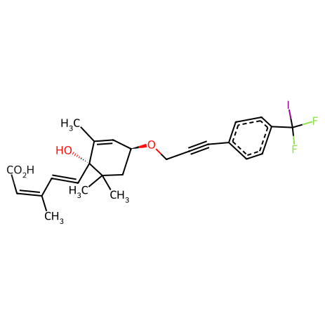 CC1=C[C@@H](OCC#Cc2ccc(C(F)(F)I)cc2)CC(C)(C)[C@@]1(O)/C=C/C(C)=C\C(=O)O